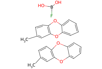 Cc1ccc2c(c1)Oc1ccccc1O2.Cc1ccc2c(c1)Oc1ccccc1O2.OB(O)F